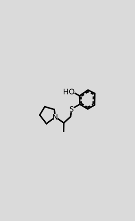 CC(CSc1ccccc1O)N1CCCC1